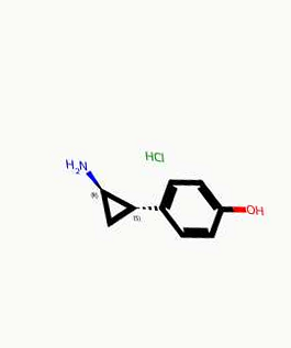 Cl.N[C@@H]1C[C@H]1c1ccc(O)cc1